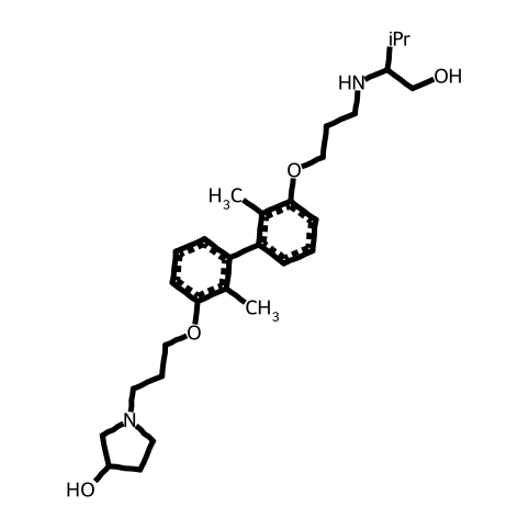 Cc1c(OCCCNC(CO)C(C)C)cccc1-c1cccc(OCCCN2CCC(O)C2)c1C